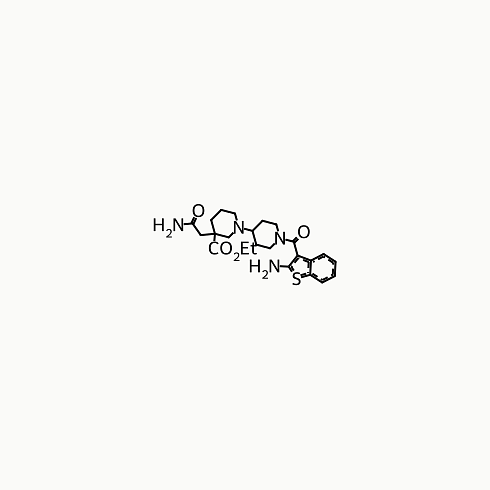 CCOC(=O)C1(CC(N)=O)CCCN(C2CCN(C(=O)c3c(N)sc4ccccc34)CC2)C1